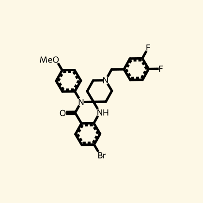 COc1ccc(N2C(=O)c3ccc(Br)cc3NC23CCN(Cc2ccc(F)c(F)c2)CC3)cc1